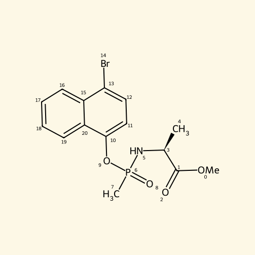 COC(=O)[C@H](C)NP(C)(=O)Oc1ccc(Br)c2ccccc12